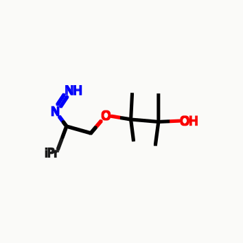 CC(C)C(COC(C)(C)C(C)(C)O)N=N